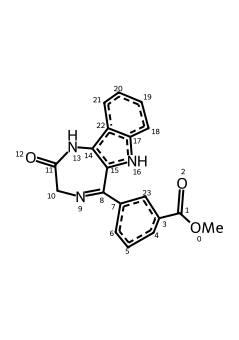 COC(=O)c1cccc(C2=NCC(=O)Nc3c2[nH]c2ccccc32)c1